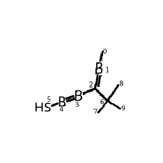 C/B=C(\B=B/S)C(C)(C)C